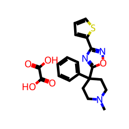 CN1CCC(c2ccccc2)(c2nc(-c3cccs3)no2)CC1.O=C(O)C(=O)O